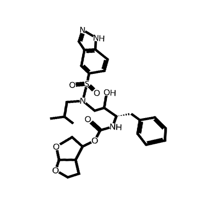 CC(C)CN(CC(O)[C@H](Cc1ccccc1)NC(=O)OC1COC2OCCC12)S(=O)(=O)c1ccc2[nH]ncc2c1